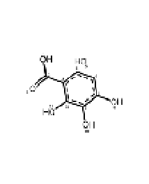 Cl.O=C(O)c1ccc(O)c(O)c1O